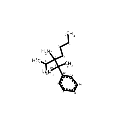 CCCCC(N)(C(C)C)C(C)(C)c1ccccc1